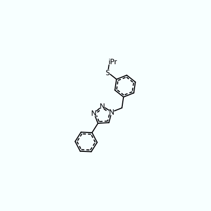 CC(C)Sc1cccc(Cn2cc(-c3ccccc3)nn2)c1